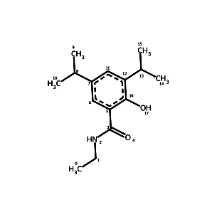 CCNC(=O)c1cc(C(C)C)cc(C(C)C)c1O